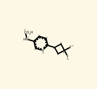 O=C(O)Nc1ccc(C2CC(F)(F)C2)nc1